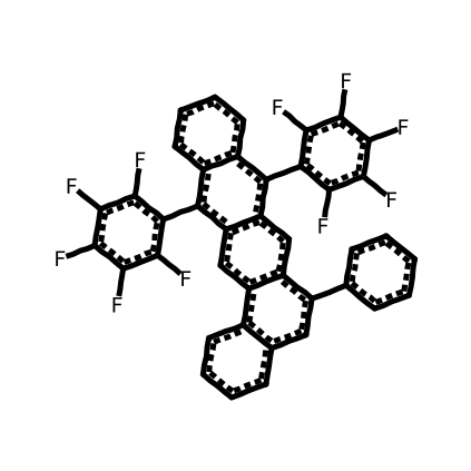 Fc1c(F)c(F)c(-c2c3ccccc3c(-c3c(F)c(F)c(F)c(F)c3F)c3cc4c(cc23)c(-c2ccccc2)cc2ccccc24)c(F)c1F